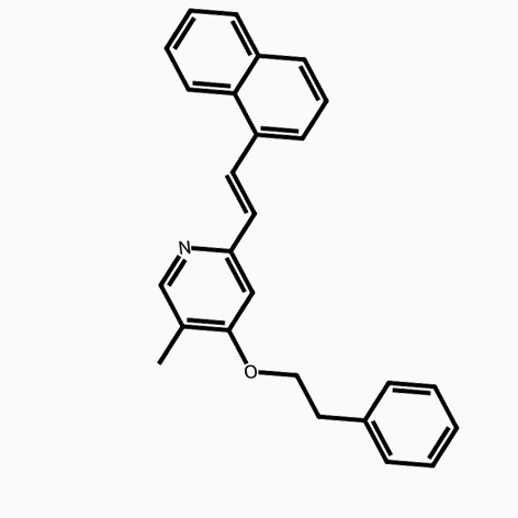 Cc1cnc(C=Cc2cccc3ccccc23)cc1OCCc1ccccc1